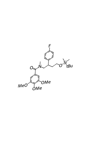 COc1cc(C(=O)N(C)CC(CCO[Si](C)(C)C(C)(C)C)c2ccc(F)cc2)cc(OC)c1OC